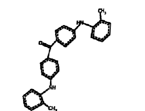 Cc1ccccc1Nc1ccc(C(=O)c2ccc(Nc3ccccc3C)cc2)cc1